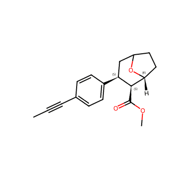 CC#Cc1ccc([C@H]2CC3CC[C@@H](O3)[C@H]2C(=O)OC)cc1